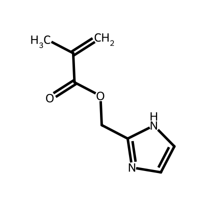 C=C(C)C(=O)OCc1ncc[nH]1